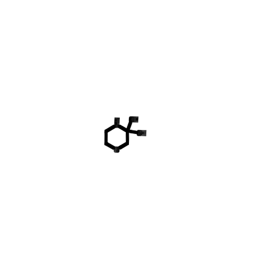 OC1(O)COCCN1